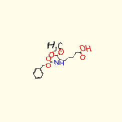 COC(=O)C(CCCCC(=O)O)NC(=O)OCc1ccccc1